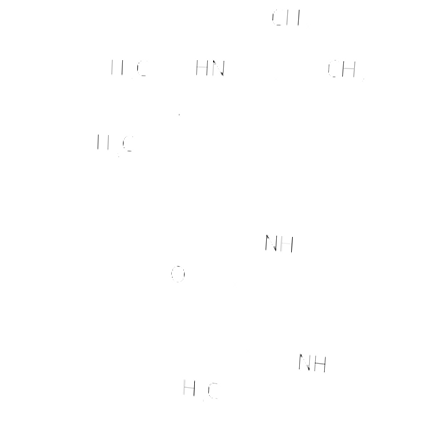 CC(=N)C(=O)NC1CC(C)(C)NC(C)(C)C1